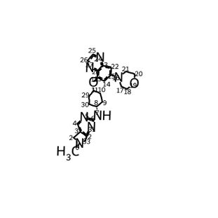 CN1Cc2cnc(N[C@H]3CC[C@@H](Oc4cc(N5CCOCC5)cc5nccnc45)CC3)nc2C1